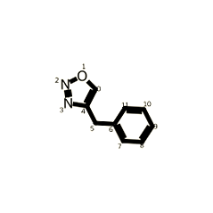 [c]1onnc1Cc1ccccc1